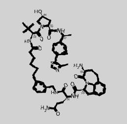 Cc1ncsc1-c1ccc([C@H](C)NC(=O)[C@@H]2C[C@@H](O)CN2C(=O)[C@@H](NC(=O)CCCCCc2cccc(CNC(=O)[C@H](CCC(N)=O)NC(=O)[C@@H]3Cc4cccc5c4N3C(=O)[C@@H](N)CC5)c2)C(C)(C)C)cc1